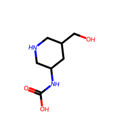 O=C(O)NC1CNCC(CO)C1